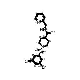 O=C(NCc1ccccn1)C1CCN(S(=O)(=O)c2cc(Cl)cc(Br)c2)CC1